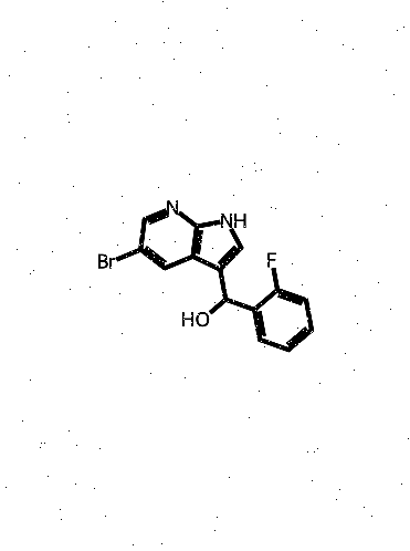 OC(c1ccccc1F)c1c[nH]c2ncc(Br)cc12